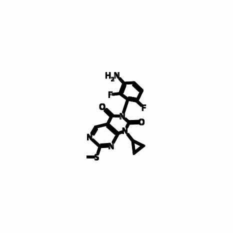 CSc1ncc2c(=O)n(-c3c(F)ccc(N)c3F)c(=O)n(C3CC3)c2n1